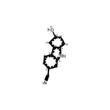 N#Cc1ccc2c(c1)[nH]c1ccc(O)cc12